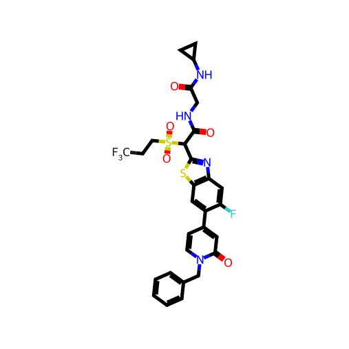 O=C(CNC(=O)C(c1nc2cc(F)c(-c3ccn(Cc4ccccc4)c(=O)c3)cc2s1)S(=O)(=O)CCC(F)(F)F)NC1CC1